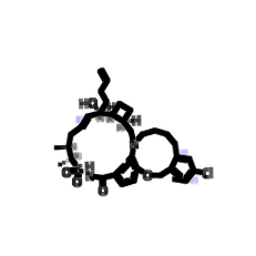 C=CCC[C@]1(O)/C=C/C[C@H](C)[C@@H](C)S(=O)(=O)NC(=O)c2ccc3c(c2)N(CCCC/C(=C/C(Cl)=C\C)C(=C)CO3)C[C@@H]2CC[C@H]21